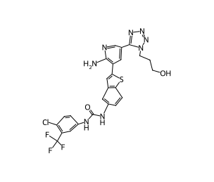 Nc1ncc(-c2nnnn2CCCO)cc1-c1cc2cc(NC(=O)Nc3ccc(Cl)c(C(F)(F)F)c3)ccc2s1